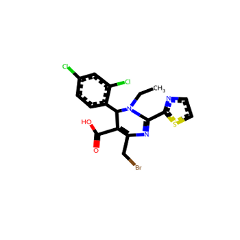 CCN1C(c2nccs2)=NC(CBr)=C(C(=O)O)C1c1ccc(Cl)cc1Cl